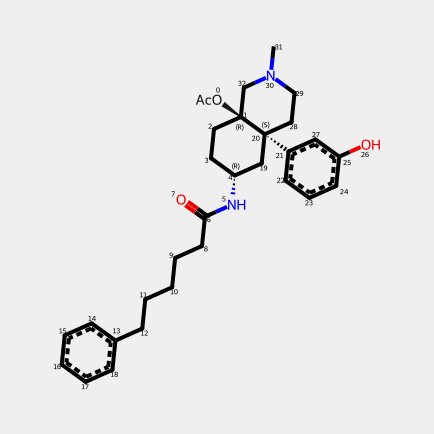 CC(=O)O[C@]12CC[C@@H](NC(=O)CCCCCc3ccccc3)C[C@]1(c1cccc(O)c1)CCN(C)C2